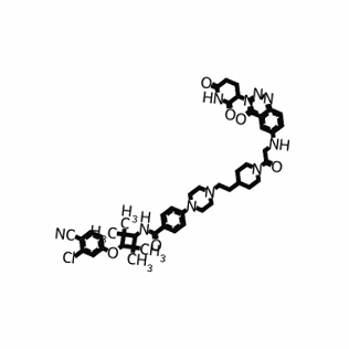 CC1(C)C(NC(=O)c2ccc(N3CCN(CCC4CCN(C(=O)CNc5ccc6nnn(C7CCC(=O)NC7=O)c(=O)c6c5)CC4)CC3)cc2)C(C)(C)C1Oc1ccc(C#N)c(Cl)c1